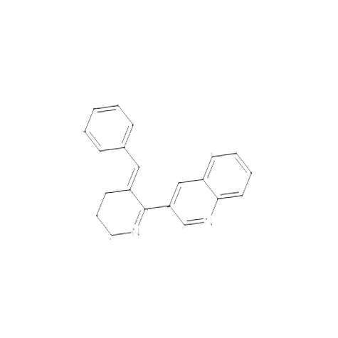 C(=C1/CCCN=C1c1cnc2ccccc2c1)/c1ccccc1